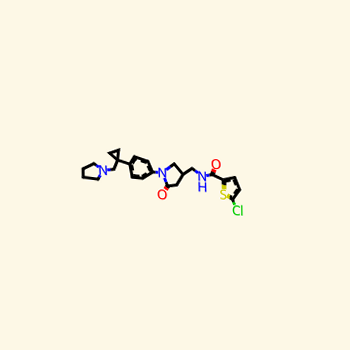 O=C(NCC1CC(=O)N(c2ccc(C3(CN4CCCC4)CC3)cc2)C1)c1ccc(Cl)s1